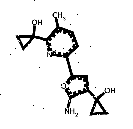 Cc1ccc(-c2cc(C3(O)CC3)c(N)o2)nc1C1(O)CC1